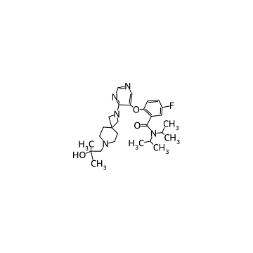 CC(C)N(C(=O)c1cc(F)ccc1Oc1cncnc1N1CC2(CCN(CC(C)(C)O)CC2)C1)C(C)C